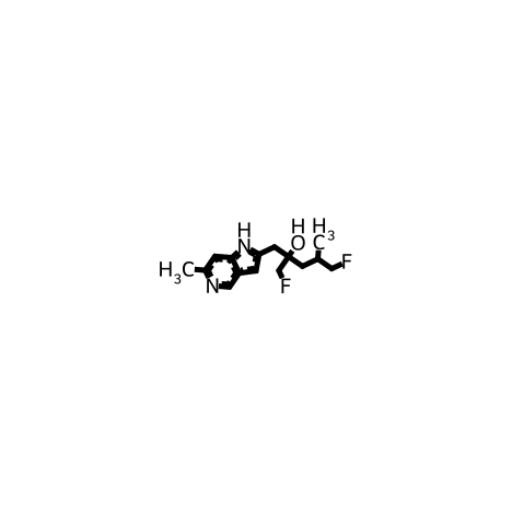 Cc1cc2[nH]c(CC(O)(CF)CC(C)CF)cc2cn1